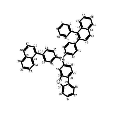 c1ccc(-c2c(-c3ccc(N(c4ccc(-c5cccc6ccccc56)cc4)c4ccc5c(c4)oc4ccccc45)cc3)ccc3ccccc23)cc1